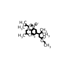 C=C(C)C(CC(=O)OCC)c1ccc(N(CC(C)C)CC(C)C)c([N+](=O)[O-])c1